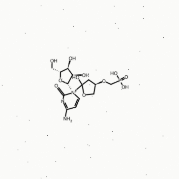 NC1=NC(=O)[N+]([C@@H]2O[C@H](CO)[C@@H](O)[C@H]2O)(C2(O)C[C@@H](OCP(=O)(O)O)CO2)C=C1